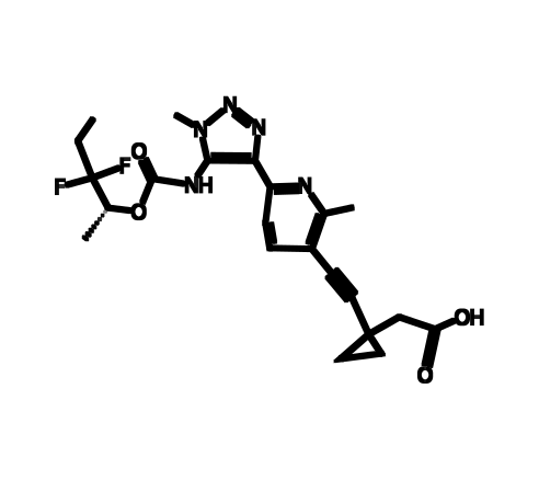 CCC(F)(F)[C@@H](C)OC(=O)Nc1c(-c2ccc(C#CC3(CC(=O)O)CC3)c(C)n2)nnn1C